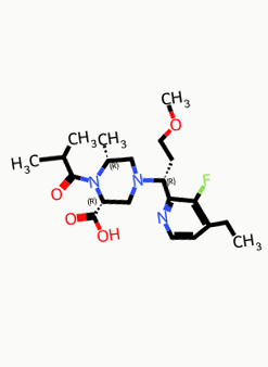 CCc1ccnc([C@@H](CCOC)N2C[C@@H](C)N(C(=O)C(C)C)[C@@H](C(=O)O)C2)c1F